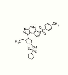 CC[C@@H]1C[C@H](NS(=O)(=O)C2CCCC2)C[C@@H]1c1nnc2cnc3c(ccn3S(=O)(=O)c3ccc(C)cc3)n12